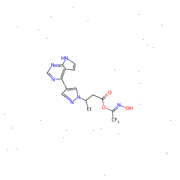 CCC(CC(=O)OC(=NO)C(F)(F)F)n1cc(-c2ncnc3[nH]ccc23)cn1